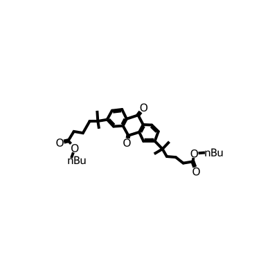 CCCCOC(=O)CCCC(C)(C)c1ccc2c(c1)C(=O)c1cc(C(C)(C)CCCC(=O)OCCCC)ccc1C2=O